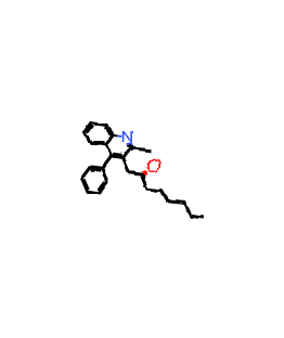 CCCCCCC(=O)Cc1c(C)nc2ccccc2c1-c1ccccc1